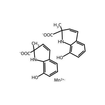 CC1(C(=O)[O-])C=Cc2cccc(O)c2N1.CC1(C(=O)[O-])C=Cc2cccc(O)c2N1.[Mn+2]